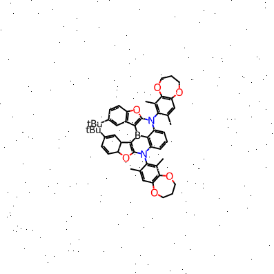 Cc1cc2c(c(C)c1N1C3=C(B4c5c1cccc5N(c1c(C)cc5c(c1C)OCCCO5)c1oc5ccc(C(C)(C)C)cc5c14)C1C=C(C(C)(C)C)C=CC1O3)OCCCO2